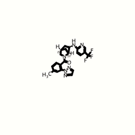 Cc1ccc(C(=O)N2C[C@H]3C[C@@H](Nc4ccc(C(F)(F)F)cn4)[C@@H]2C3)c(-n2nccn2)c1